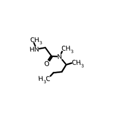 CCCC(C)N(C)C(=O)CNC